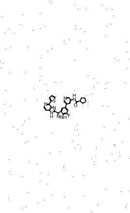 O=C(Nc1cncc(-c2cc(F)c3[nH]nc(-c4nc5c(-c6cccs6)nccc5[nH]4)c3c2)c1)C1CCCC1